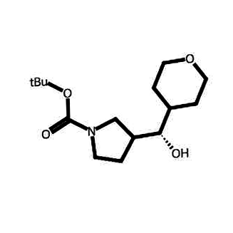 CC(C)(C)OC(=O)N1CCC([C@@H](O)C2CCOCC2)C1